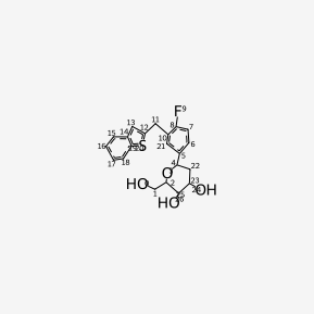 OCC1OC(c2ccc(F)c(Cc3cc4ccccc4s3)c2)CC(O)C1O